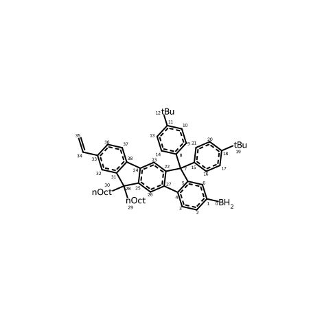 Bc1ccc2c(c1)C(c1ccc(C(C)(C)C)cc1)(c1ccc(C(C)(C)C)cc1)c1cc3c(cc1-2)C(CCCCCCCC)(CCCCCCCC)c1cc(C=C)ccc1-3